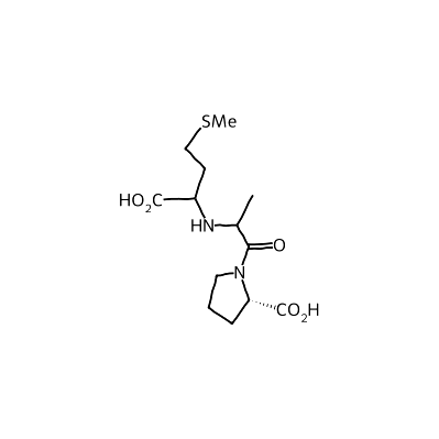 CSCCC(NC(C)C(=O)N1CCC[C@H]1C(=O)O)C(=O)O